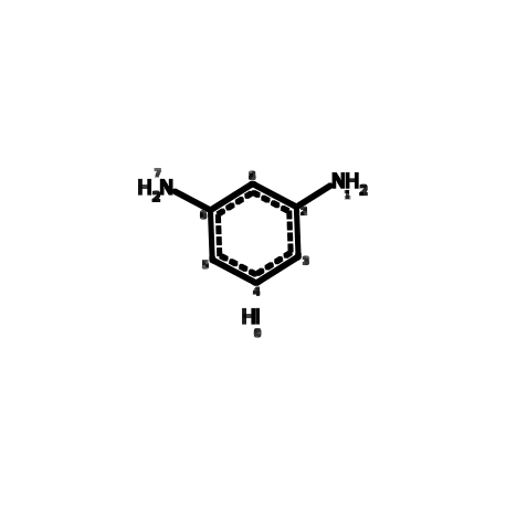 I.Nc1cccc(N)c1